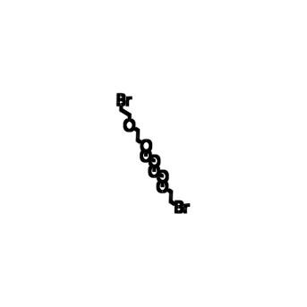 BrCCOCCOOOOOOCCBr